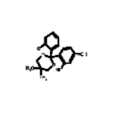 CC1(C)COC(c2ccccc2O)(c2ccc(O)cc2O)OC1